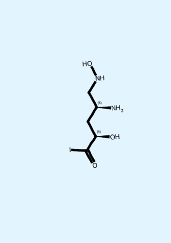 N[C@H](CNO)C[C@@H](O)C(=O)I